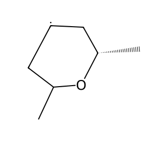 CC1C[CH]C[C@H](C)O1